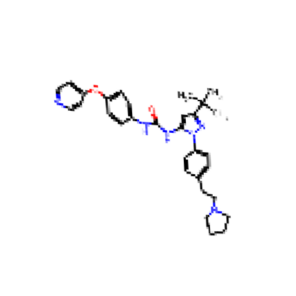 CC(C)(C)c1cc(NC(=O)Nc2ccc(Oc3ccncc3)cc2)n(-c2ccc(CCN3CCCC3)cc2)n1